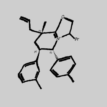 C=CC[C@@]1(C)C[C@H](c2cccc(C)c2)[C@@H](c2ccc(C)cc2)[N+]2=C1OCC2C(C)C